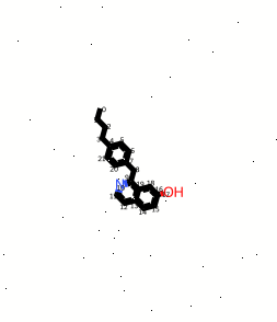 CCCCc1ccc(Cc2nccc3ccc(O)cc23)cc1